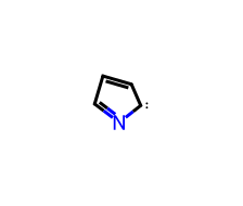 [C]1C=CC=N1